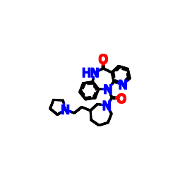 O=C1Nc2ccccc2N(C(=O)N2CCCCC(CCN3CCCC3)C2)c2ncccc21